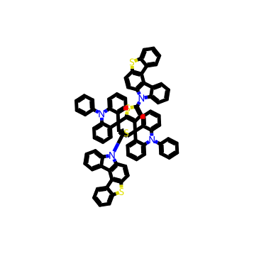 c1ccc(N2c3ccccc3C3(c4ccccc42)c2cc(-n4c5ccccc5c5c6c(ccc54)sc4ccccc46)sc2C2(c4ccccc4N(c4ccccc4)c4ccccc42)c2cc(-n4c5ccccc5c5c6c(ccc54)sc4ccccc46)sc23)cc1